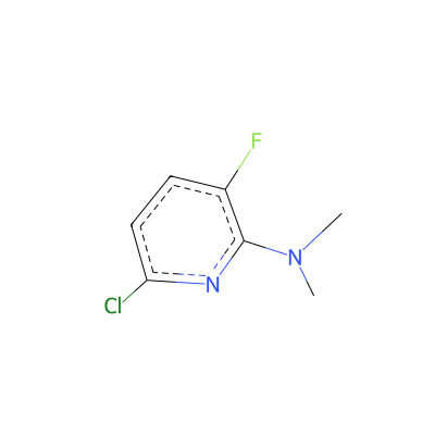 CN(C)c1nc(Cl)ccc1F